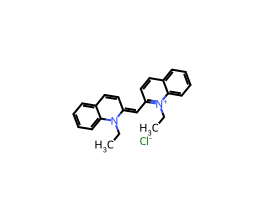 CCN1/C(=C/c2ccc3ccccc3[n+]2CC)C=Cc2ccccc21.[Cl-]